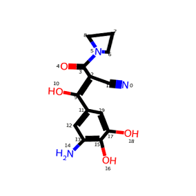 N#C/C(C(=O)N1CCC1)=C(/O)c1cc(N)c(O)c(O)c1